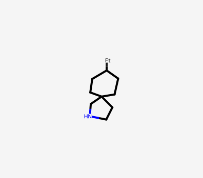 CCC1CCC2(CCNC2)CC1